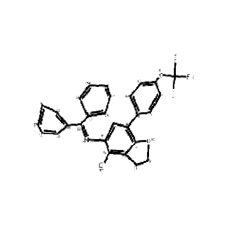 FC(F)(F)Oc1ccc(-c2cc(N=C(c3ccccc3)c3ccccc3)c(Cl)c3c2OCC3)cc1